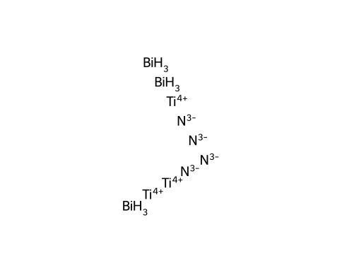 [BiH3].[BiH3].[BiH3].[N-3].[N-3].[N-3].[N-3].[Ti+4].[Ti+4].[Ti+4]